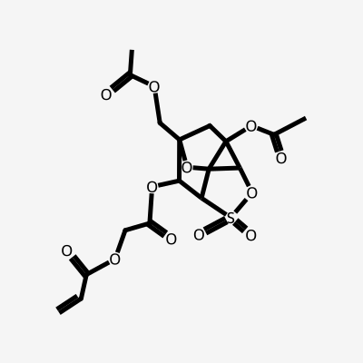 C=CC(=O)OCC(=O)OC1C2C34OC1(COC(C)=O)CC3(OC(C)=O)C4OS2(=O)=O